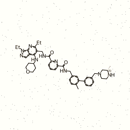 CCc1nc2c(cnn2CC)c(NC2CCOCC2)c1CNC(=O)c1cccc(C(=O)NCc2ccc(C)c(-c3cccc(CN4CCN[C@@H](C)C4)c3)c2)n1